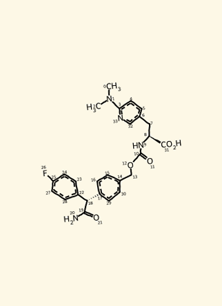 CN(C)c1ccc(C[C@H](NC(=O)OCc2ccc([C@H](C(N)=O)c3ccc(F)cc3)cc2)C(=O)O)cn1